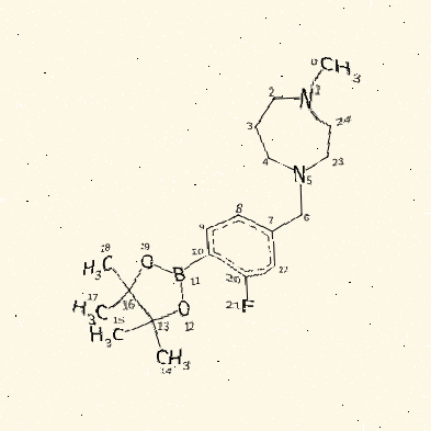 CN1CCCN(Cc2ccc(B3OC(C)(C)C(C)(C)O3)c(F)c2)CC1